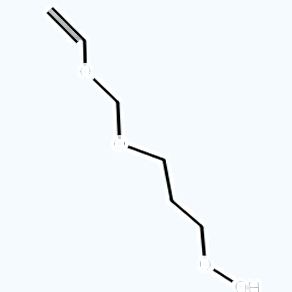 C=COCOCCCOO